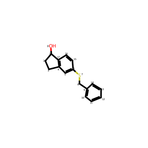 OC1CCc2cc(SCc3ccccc3)ccc21